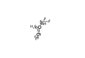 COc1cc(-c2cnc(C(CF)CCCF)[nH]2)ccc1OCc1ccc(C(F)(F)F)cn1